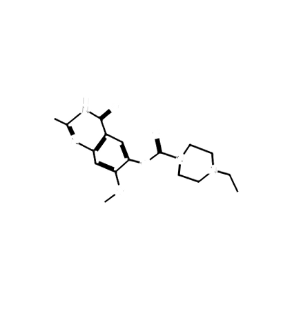 CCN1CCN(C(=O)Oc2cc3c(=O)[nH]c(C)nc3cc2OC)CC1